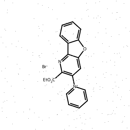 CCOC(=O)c1nc2c(cc1-[n+]1ccccc1)oc1ccccc12.[Br-]